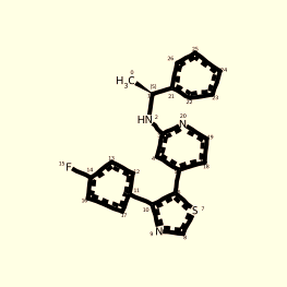 C[C@H](Nc1cc(-c2scnc2-c2ccc(F)cc2)ccn1)c1ccccc1